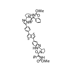 COC(=O)N[C@H](C(=O)N1CCCC1c1nc2cc(-c3csc4c(-c5ccc(-c6cnc(C7CCCN7C(=O)[C@H](NC(=O)OC)c7ccccc7)[nH]6)cc5)csc34)ccc2[nH]1)C(C)C